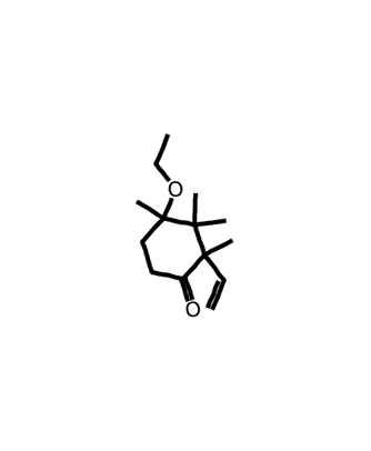 C=CC1(C)C(=O)CCC(C)(OCC)C1(C)C